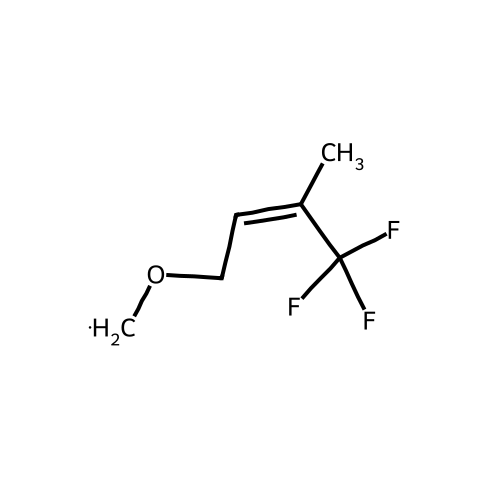 [CH2]OCC=C(C)C(F)(F)F